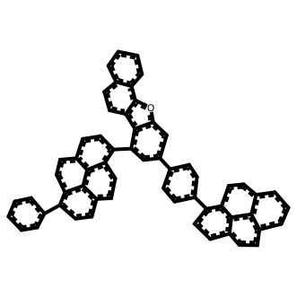 c1ccc(-c2ccc3ccc4c(-c5cc(-c6ccc(-c7ccc8ccc9cccc%10ccc7c8c9%10)cc6)cc6oc7c8ccccc8ccc7c56)ccc5ccc2c3c54)cc1